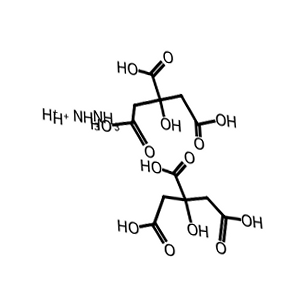 N.N.O=C(O)CC(O)(CC(=O)O)C(=O)O.O=C(O)CC(O)(CC(=O)O)C(=O)O.[H+].[H+]